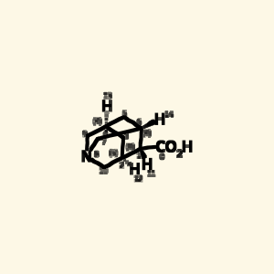 O=C(O)[C@@H]1[C@@H]2C[C@@H]3C[C@H]1CN(C3)C2